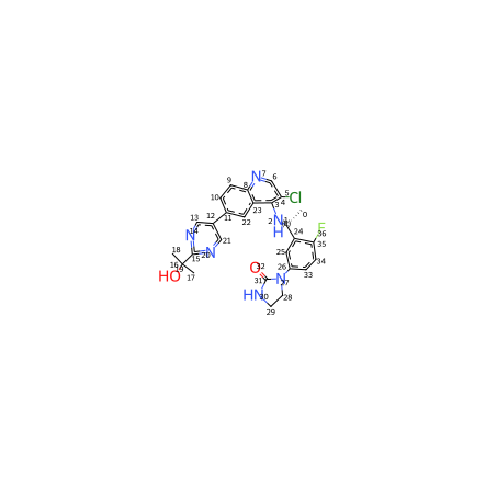 C[C@@H](Nc1c(Cl)cnc2ccc(-c3cnc(C(C)(C)O)nc3)cc12)c1cc(N2CCNC2=O)ccc1F